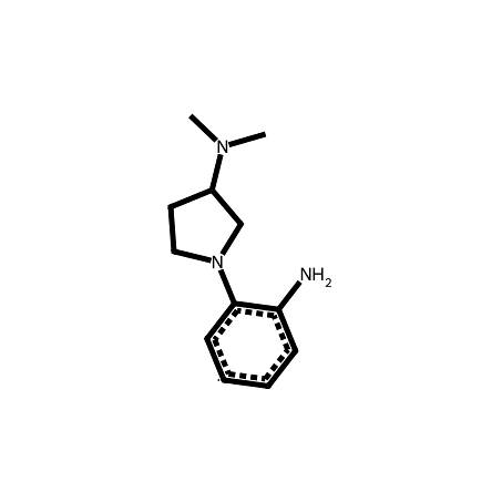 CN(C)C1CCN(c2c[c]ccc2N)C1